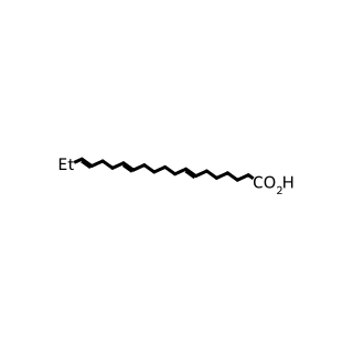 CCC=CCCC=CCCCCC=CCCCCCC(=O)O